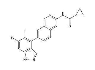 Cc1c(F)cc2[nH]ncc2c1-c1ccc2cc(NC(=O)C3CC3)ncc2c1